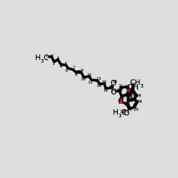 CCCCCCCCC=CCCCCCCCC(=O)OC1=CC[C@]2(O)C3Cc4ccc(OC)c5c4[C@@]2(CCN3C)[C@H]1O5